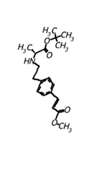 COC(=O)/C=C/c1ccc(CCN[C@@H](C)C(=O)OC(C)(C)C)cc1